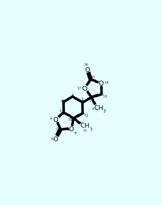 CC1(C2CCC3OC(=O)OC3(C)C2)COC(=O)O1